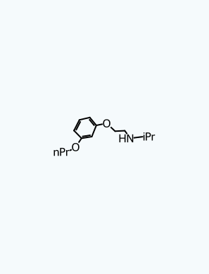 CCCOc1cccc(OCCNC(C)C)c1